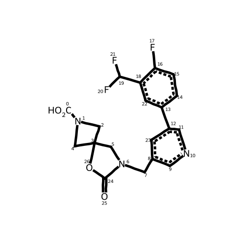 O=C(O)N1CC2(C1)CN(Cc1cncc(-c3ccc(F)c(C(F)F)c3)c1)C(=O)O2